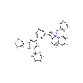 CCC1C(c2cccc(-c3cc(-c4ccccc4)nc(-c4ccccc4)c3)c2)=[N+]2C(c3ccccc3)[N+]12c1ccccc1